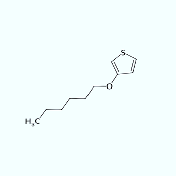 CCCCCCOc1ccsc1